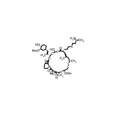 CO[C@@H]1CCC[C@@H](C)C/C(C)=C/[C@@H](CCCSCCN(C)C)C(=O)C[C@H](O)C[C@@H](/C(C)=C/[C@@H]2CC[C@@H](O)[C@H](OC)C2)OC(=O)[C@@H]2CCCCN2C(=O)C(=O)C(O)(O)[C@H](C)C1